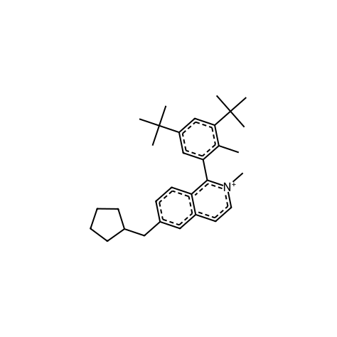 Cc1c(-c2c3ccc(CC4CCCC4)cc3cc[n+]2C)cc(C(C)(C)C)cc1C(C)(C)C